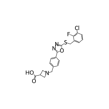 O=C(O)C1CN(Cc2ccc(-c3nnc(SCc4cccc(Cl)c4F)o3)cc2)C1